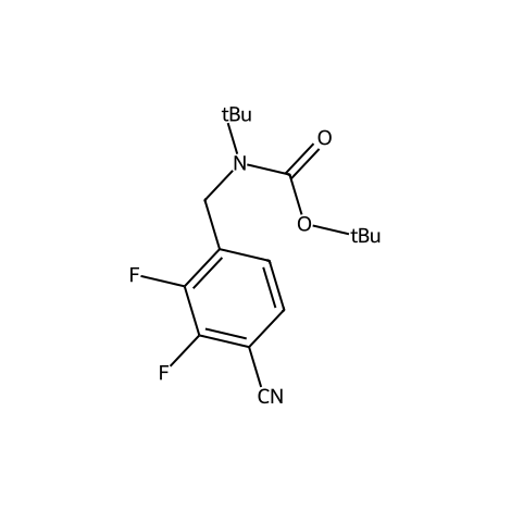 CC(C)(C)OC(=O)N(Cc1ccc(C#N)c(F)c1F)C(C)(C)C